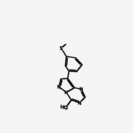 CSc1cccc(-c2cnn3c(O)ncnc23)c1